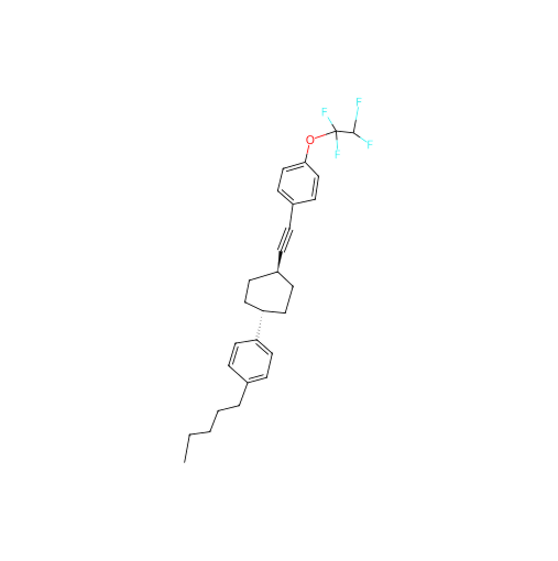 CCCCCc1ccc([C@H]2CC[C@H](C#Cc3ccc(OC(F)(F)C(F)F)cc3)CC2)cc1